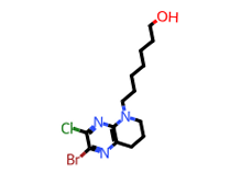 OCCCCCCCN1CCCc2nc(Br)c(Cl)nc21